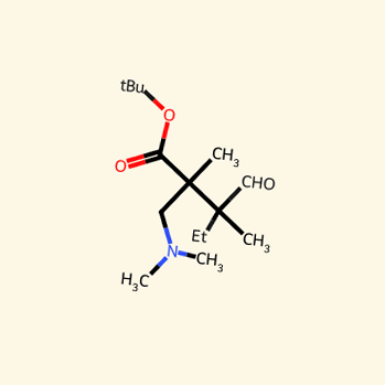 CCC(C)(C=O)C(C)(CN(C)C)C(=O)OC(C)(C)C